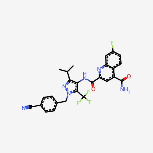 CC(C)c1nn(Cc2ccc(C#N)cc2)c(C(F)(F)F)c1NC(=O)c1cc(C(N)=O)c2ccc(F)cc2n1